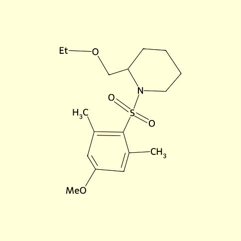 CCOCC1CCCCN1S(=O)(=O)c1c(C)cc(OC)cc1C